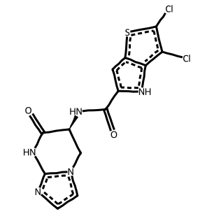 O=C(N[C@H]1Cn2ccnc2NC1=O)c1cc2sc(Cl)c(Cl)c2[nH]1